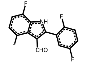 O=Cc1c(-c2cc(F)ccc2F)[nH]c2c(F)ccc(F)c12